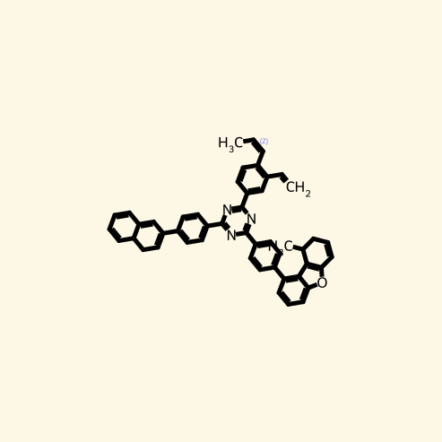 C=Cc1cc(-c2nc(-c3ccc(C4=CCC5C=CC=CC5=C4)cc3)nc(-c3ccc(-c4cccc5oc6c(c45)C(C)CC=C6)cc3)n2)ccc1/C=C\C